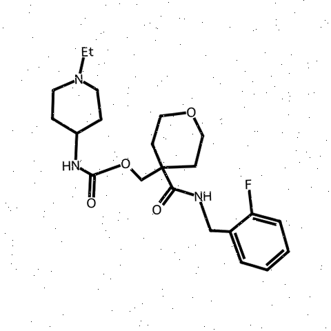 CCN1CCC(NC(=O)OCC2(C(=O)NCc3ccccc3F)CCOCC2)CC1